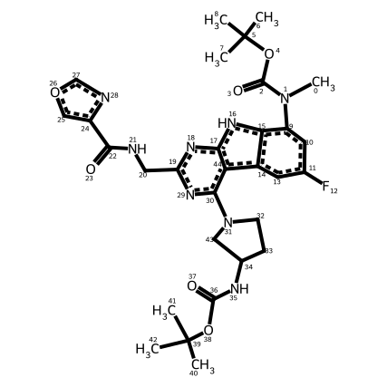 CN(C(=O)OC(C)(C)C)c1cc(F)cc2c1[nH]c1nc(CNC(=O)c3cocn3)nc(N3CCC(NC(=O)OC(C)(C)C)C3)c12